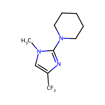 Cn1cc(C(F)(F)F)nc1N1CCCCC1